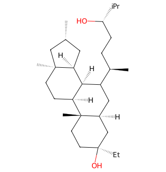 CC[C@]1(O)CC[C@@]2(C)[C@@H](CC([C@H](C)CC[C@H](O)C(C)C)[C@@H]3[C@@H]4C[C@@H](C)C[C@]4(C)CC[C@@H]32)C1